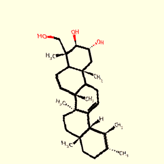 C[C@H]1[C@H](C)CC[C@]2(C)CC[C@]3(C)C(=CCC4[C@@]5(C)C[C@@H](O)[C@H](O)[C@@](C)(CO)C5CC[C@]43C)[C@H]12